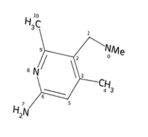 CNCc1c(C)cc(N)nc1C